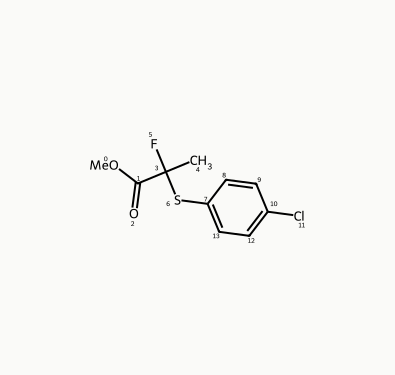 COC(=O)C(C)(F)Sc1ccc(Cl)cc1